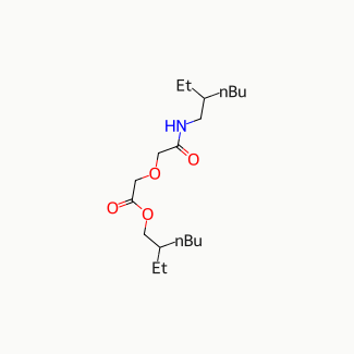 CCCCC(CC)CNC(=O)COCC(=O)OCC(CC)CCCC